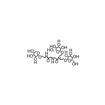 C[C@@H]1O[C@@H](OCCNC(=O)CNCC(=O)N(CCO[C@H]2O[C@H](CO)[C@@H](O)[C@H](O)[C@@H]2O)CCO[C@H]2O[C@H](CO)[C@@H](O)[C@H](O)[C@@H]2O)[C@@H](O)[C@H](O)[C@@H]1O